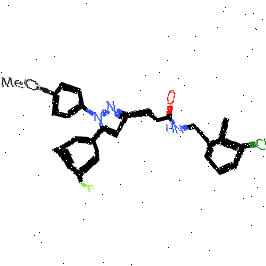 COc1ccc(-n2nc(CCC(=O)NCc3cccc(Cl)c3C)cc2-c2cccc(F)c2)cc1